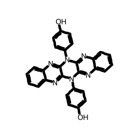 Oc1ccc(N2c3nc4ccccc4nc3N(c3ccc(O)cc3)c3nc4ccccc4nc32)cc1